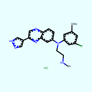 COc1cc(F)cc(N(CCNC(C)C)c2ccc3ncc(-c4cn[nH]c4)nc3c2)c1.Cl